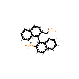 PCc1ccc2ccccc2c1-c1c(P)ccc2ccccc12